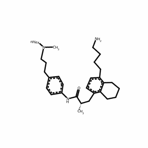 CCCCCCN(C)CCCc1ccc(NC(=O)[C@@H](C)Cc2ccc(CCCCN)c3c2CCCC3)cc1